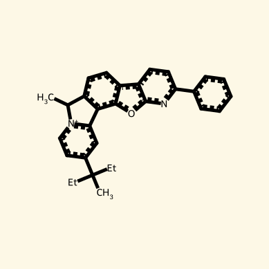 CCC(C)(CC)c1cc[n+]2c(c1)-c1c(ccc3c1oc1nc(-c4ccccc4)ccc13)C2C